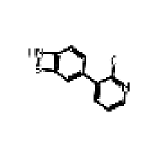 Clc1ncccc1-c1ccc2[nH]sc2c1